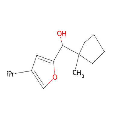 CC(C)c1coc(C(O)C2(C)CCCC2)c1